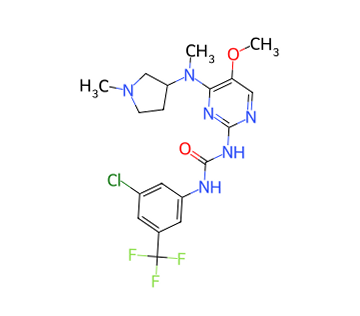 COc1cnc(NC(=O)Nc2cc(Cl)cc(C(F)(F)F)c2)nc1N(C)C1CCN(C)C1